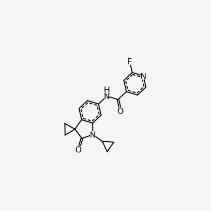 O=C(Nc1ccc2c(c1)N(C1CC1)C(=O)C21CC1)c1ccnc(F)c1